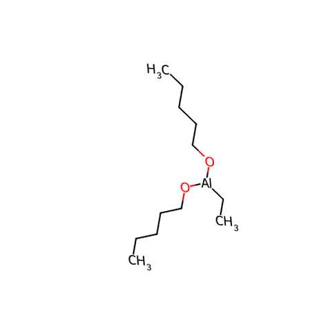 CCCCC[O][Al]([CH2]C)[O]CCCCC